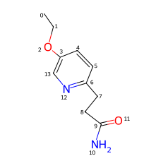 CCOc1ccc(CCC(N)=O)nc1